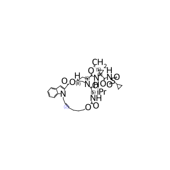 C=C[C@@H]1C[C@]1(NC(=O)[C@@H]1C[C@@H]2CN1C(=O)[C@H](C(C)C)NC(=O)OCCC/C=C\Cn1c(cc3ccccc31)C(=O)O2)C(=O)NS(=O)(=O)C1CC1